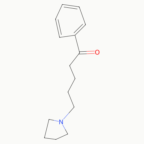 O=C(CCCCN1CCCC1)c1ccccc1